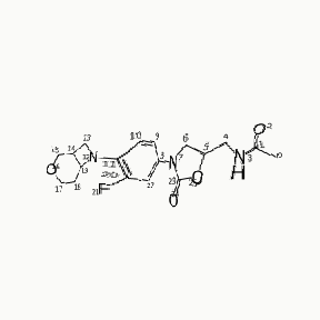 CC(=O)NCC1CN(c2ccc(N3CC4COCCC43)c(F)c2)C(=O)O1